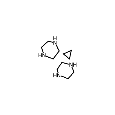 C1CC1.C1CNCCN1.C1CNCCN1